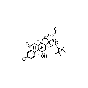 C[C@@H]1C[C@H]2[C@@H]3C[C@H](F)C4=CC(=O)C=C[C@]4(C)C3(F)[C@@H](O)C[C@]2(C)[C@@]1(OC(=O)C1C(C)(C)C1(C)C)C(=O)OCCl